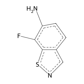 Nc1ccc2cnsc2c1F